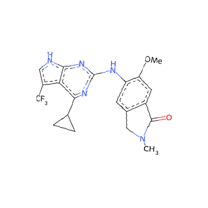 COc1cc2c(cc1Nc1nc(C3CC3)c3c(C(F)(F)F)c[nH]c3n1)CN(C)C2=O